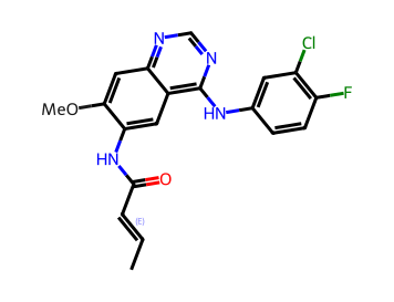 C/C=C/C(=O)Nc1cc2c(Nc3ccc(F)c(Cl)c3)ncnc2cc1OC